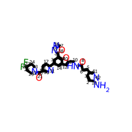 Nc1ccc(C=CC(=O)NCc2cc3cc(-c4ccc(C(=O)N5CCC(F)(F)CC5)cn4)cc(-c4nnco4)c3o2)cn1